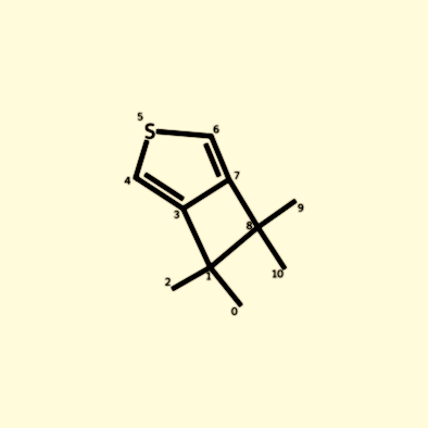 CC1(C)c2cscc2C1(C)C